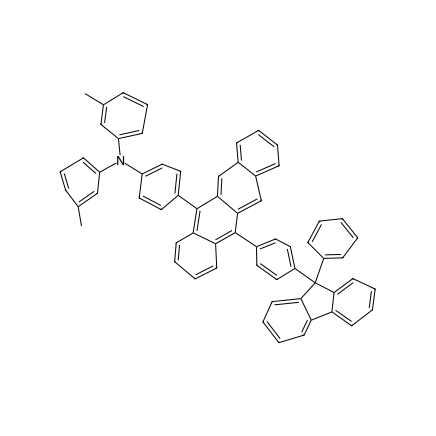 Cc1cccc(N(c2ccc(-c3c4ccccc4c(-c4ccc(C5(c6ccccc6)c6ccccc6-c6ccccc65)cc4)c4cc5ccccc5cc34)cc2)c2cccc(C)c2)c1